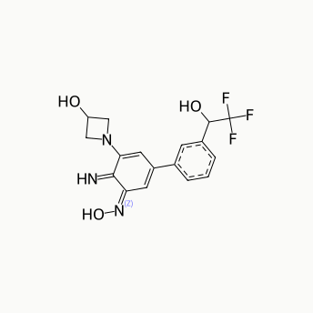 N=C1C(N2CC(O)C2)=CC(c2cccc(C(O)C(F)(F)F)c2)=C/C1=N/O